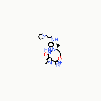 Cc1cc2cc(n1)-c1cnn(C)c1OCCC[C@@H](C1CC1)N1/C(=N/C2=O)Nc2ccc(N[C@H](C)CCN3CCCCC3)cc21